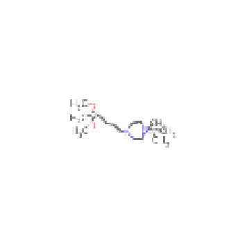 CO[Si](C)(CCCCN1CCN([Si](C)(C)C)CC1)OC